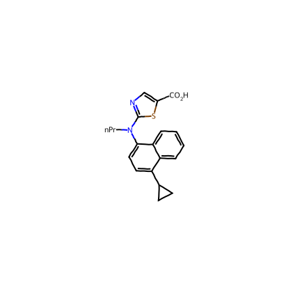 CCCN(c1ncc(C(=O)O)s1)c1ccc(C2CC2)c2ccccc12